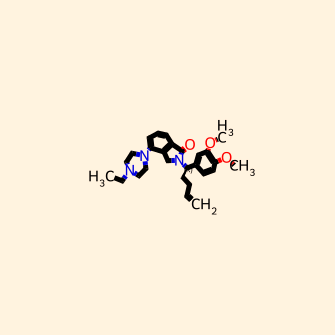 C=CCC[C@H](c1ccc(OC)c(OC)c1)N1Cc2c(cccc2N2CCN(CC)CC2)C1=O